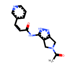 CC(=O)N1Cc2n[nH]c(NC(=O)/C=C\c3cccnc3)c2C1